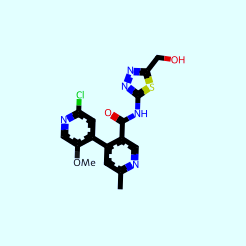 COc1cnc(Cl)cc1-c1cc(C)ncc1C(=O)Nc1nnc(CO)s1